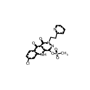 CS(=O)(=O)Oc1nn(CCc2ccccn2)c(=O)c2c(=O)c3ccc(Cl)cc3[nH]c12